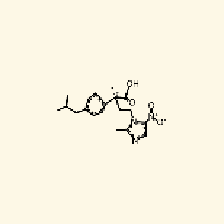 Cc1ncc([N+](=O)[O-])n1CC[C@](C)(C(=O)O)c1ccc(CC(C)C)cc1